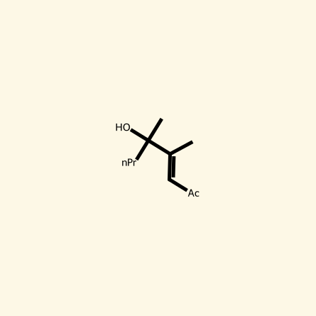 CCCC(C)(O)/C(C)=C/C(C)=O